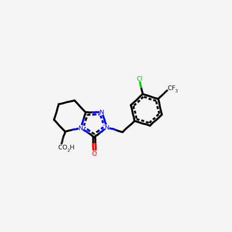 O=C(O)C1CCCc2nn(Cc3ccc(C(F)(F)F)c(Cl)c3)c(=O)n21